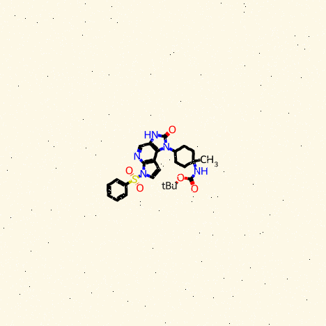 CC1(NC(=O)OC(C)(C)C)CCC(n2c(=O)[nH]c3cnc4c(ccn4S(=O)(=O)c4ccccc4)c32)CC1